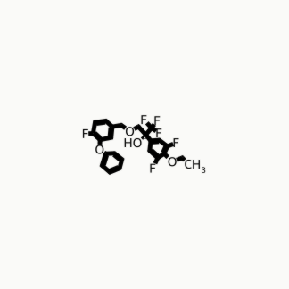 CCOc1c(F)cc([C@](O)(COCc2ccc(F)c(Oc3ccccc3)c2)C(F)(F)F)cc1F